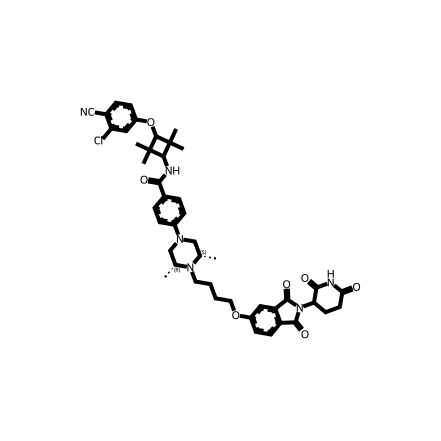 C[C@@H]1CN(c2ccc(C(=O)NC3C(C)(C)C(Oc4ccc(C#N)c(Cl)c4)C3(C)C)cc2)C[C@H](C)N1CCCCOc1ccc2c(c1)C(=O)N(C1CCC(=O)NC1=O)C2=O